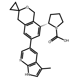 Cc1c[nH]c2ncc(-c3cc4c(c([C@@H]5CCCN5C(=O)O)c3)COC3(CC3)C4)cc12